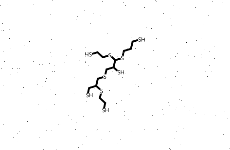 SCCCSC(SCCS)C(S)CSCC(CS)SCCS